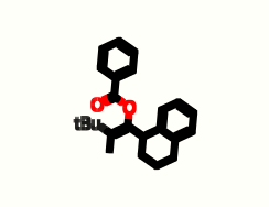 CC(=C(OC(=O)c1ccccc1)C1CCCc2ccccc21)C(C)(C)C